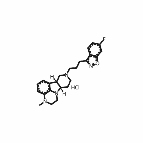 CN1CCN2c3c(cccc31)[C@@H]1CN(CCCc3noc4cc(F)ccc34)CC[C@@H]12.Cl